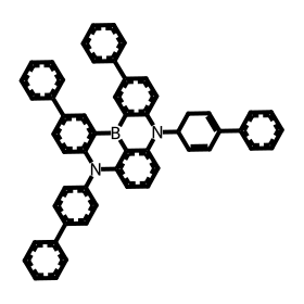 C1=CC(N2c3ccc(-c4ccccc4)cc3B3c4cc(-c5ccccc5)ccc4N(c4ccc(-c5ccccc5)cc4)c4cccc2c43)CC=C1c1ccccc1